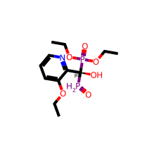 CCOc1cccnc1[C@@](O)([PH2]=O)P(=O)(OCC)OCC